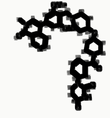 COc1cc(-c2cn(C)c(=O)c3cnccc23)cc(OC)c1CN1CCC(OC2CCN(C(=O)c3cccc(N4CCC(=O)NC4=O)c3)CC2)CC1